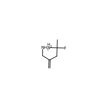 C=C(CN)CC(C)(N)F